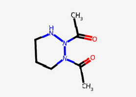 CC(=O)N1CCCNN1C(C)=O